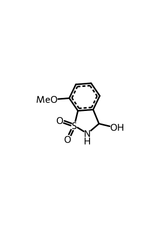 COc1cccc2c1S(=O)(=O)NC2O